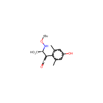 Cc1cc(O)cc(C)c1C(=C=O)[C@H](NOC(C)(C)C)C(=O)O